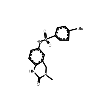 CN1Cc2cc(NS(=O)(=O)c3ccc(C(C)(C)C)cc3)ccc2NC1=O